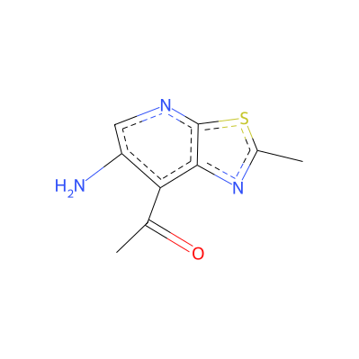 CC(=O)c1c(N)cnc2sc(C)nc12